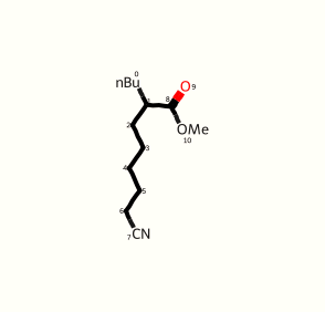 CCCCC(CCCCCC#N)C(=O)OC